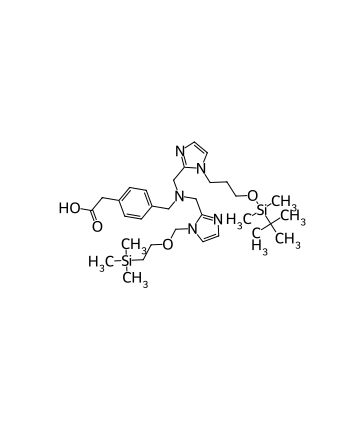 CC(C)(C)[Si](C)(C)OCCCn1ccnc1CN(Cc1ccc(CC(=O)O)cc1)Cc1nccn1COCC[Si](C)(C)C